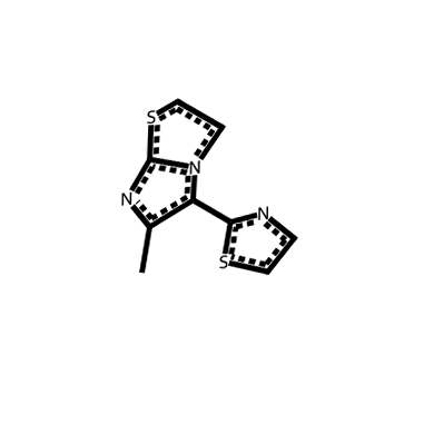 Cc1nc2sccn2c1-c1nccs1